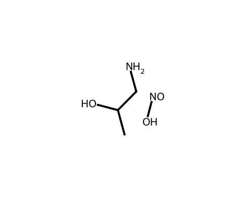 CC(O)CN.O=NO